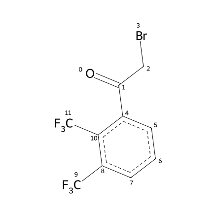 O=C(CBr)c1cccc(C(F)(F)F)c1C(F)(F)F